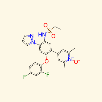 CCS(=O)(=O)Nc1cc(-c2cc(C)[n+]([O-])c(C)c2)c(Oc2ccc(F)cc2F)cc1-n1cccn1